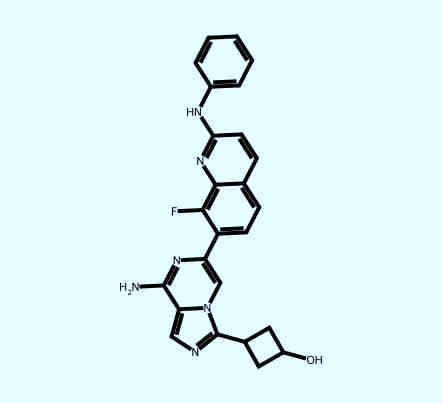 Nc1nc(-c2ccc3ccc(Nc4ccccc4)nc3c2F)cn2c(C3CC(O)C3)ncc12